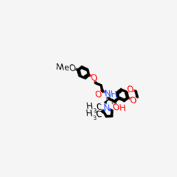 COc1ccc(OCCC(=O)N[C@H](CN2CCCC2(C)C)[C@H](O)c2ccc3c(c2)OCCO3)cc1